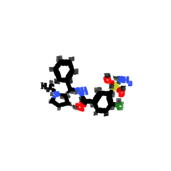 CN1CCC[C@H]1C(NC(=O)c1ccc(Cl)c(S(N)(=O)=O)c1)c1ccccc1